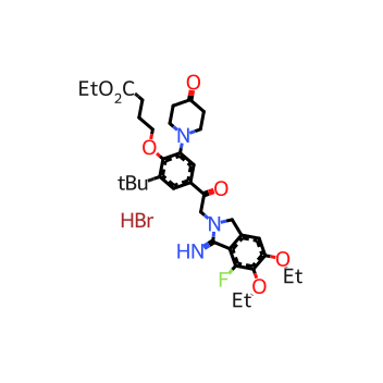 Br.CCOC(=O)CCCOc1c(N2CCC(=O)CC2)cc(C(=O)CN2Cc3cc(OCC)c(OCC)c(F)c3C2=N)cc1C(C)(C)C